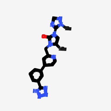 CCCCc1cn(-c2ncnn2C(C)CC)c(=O)n1Cc1cc(-c2cccc(-c3nnn[nH]3)c2)ccn1